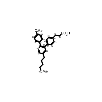 COCCCCc1cnc(-c2ccc(OC)cc2)c(-c2ccc(CCC(=O)O)cc2)c1